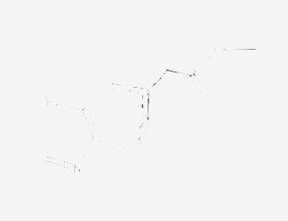 COC(=O)Cc1ccc(N=O)c(Cl)c1